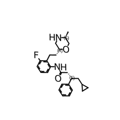 C[C@H]1CO[C@H](CCc2c(F)cccc2NC(=O)C[C@H](CC2CC2)c2ccccc2)CN1